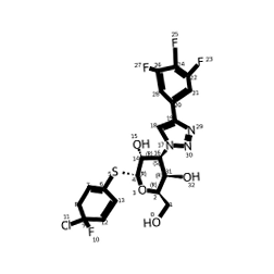 OC[C@H]1O[C@H](SC2=CCC(F)(Cl)C=C2)[C@H](O)[C@@H](n2cc(-c3cc(F)c(F)c(F)c3)nn2)[C@H]1O